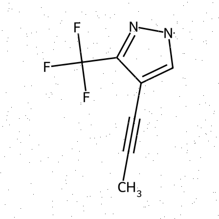 CC#CC1=C[N]N=C1C(F)(F)F